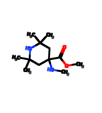 CNC1(C(=O)OC)CC(C)(C)NC(C)(C)C1